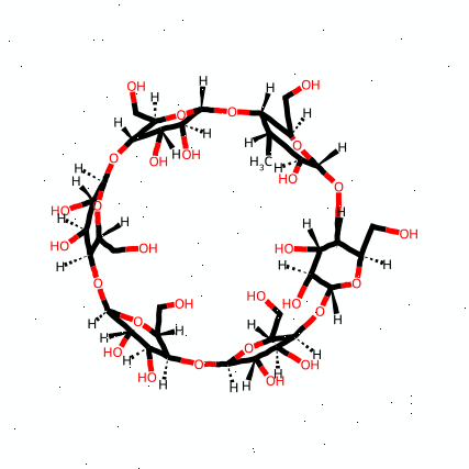 C[C@H]1[C@H](O)[C@H]2O[C@H]3[C@@H](O)[C@H](O)[C@@H](O[C@H]4[C@@H](O)[C@H](O)[C@@H](O[C@H]5[C@@H](O)[C@H](O)[C@@H](O[C@H]6[C@@H](O)[C@H](O)[C@@H](O[C@H]7[C@@H](O)[C@H](O)[C@@H](O[C@@H]1[C@@H](CO)O2)O[C@@H]7CO)O[C@@H]6CO)O[C@@H]5CO)O[C@@H]4CO)O[C@@H]3CO